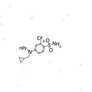 CCCN(CC1CC1)c1ccc(S(N)(=O)=O)c(C(F)(F)F)c1